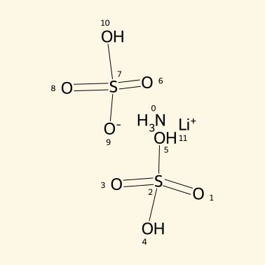 N.O=S(=O)(O)O.O=S(=O)([O-])O.[Li+]